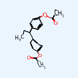 CCC(c1ccc(OC(C)=O)cc1)c1ccc(OC(C)=O)cc1